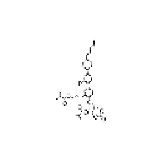 C=C(C)C(=O)OCCCc1cc(-c2ccc(C3CCC(CCCCC)CC3)cc2F)ccc1OCC1(COC(=O)C(=C)C)COC(=O)OC1